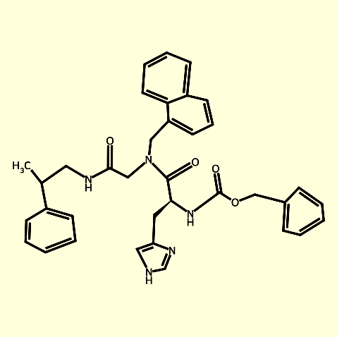 CC(CNC(=O)CN(Cc1cccc2ccccc12)C(=O)[C@H](Cc1c[nH]cn1)NC(=O)OCc1ccccc1)c1ccccc1